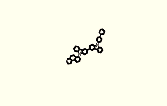 c1ccc(-c2ccc(-n3c4ccccc4c4cc(-c5ccc6c(c5)c5ccccc5n6-c5cccc6c5ccc5ccccc56)ccc43)cc2)cc1